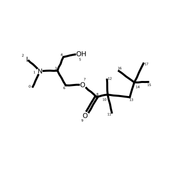 CN(I)C(CO)COC(=O)C(C)(C)CC(C)(C)C